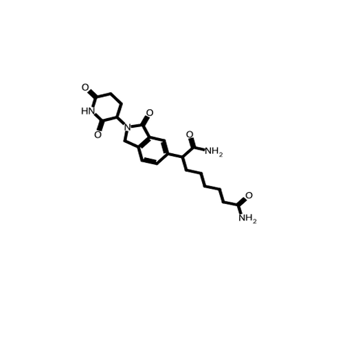 NC(=O)CCCCCC(C(N)=O)c1ccc2c(c1)C(=O)N(C1CCC(=O)NC1=O)C2